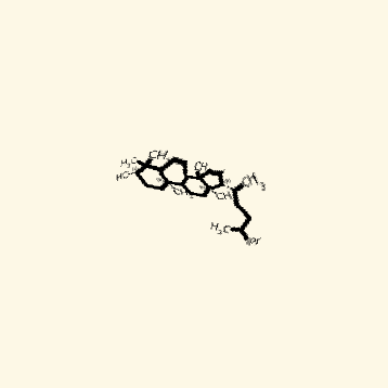 CC(C)C(C)CCC(C)[C@H]1CCC2(C)C3CCC4C(C)(C)[C@@H](O)CC[C@]4(C)C3CC[C@]12C